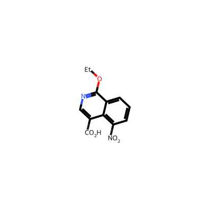 CCOc1ncc(C(=O)O)c2c([N+](=O)[O-])cccc12